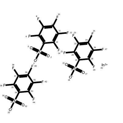 O=S(=O)([O-])c1c(F)c(F)c(F)c(F)c1F.O=S(=O)([O-])c1c(F)c(F)c(F)c(F)c1F.O=S(=O)([O-])c1c(F)c(F)c(F)c(F)c1F.[In+3]